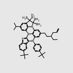 BC1(B)c2cc(C(C)C)cc3c2N(c2cc(CCC(CC)CC=C)cc4c2B3c2sc3ccc(C(C)(C)C)cc3c2N4c2ccc(C(C)(C)C)cc2)C1(B)B